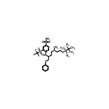 CN(CCO[Si](C)(C)C(C)(C)C)CCC(CSc1ccccc1)Nc1ccc(S(N)(=O)=O)cc1S(=O)(=O)C(F)(F)F